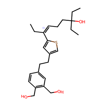 CC/C(=C/CCC(O)(CC)CC)c1cc(CCc2ccc(CO)c(CO)c2)cs1